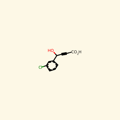 O=C(O)C#CC(O)c1cccc(Cl)c1